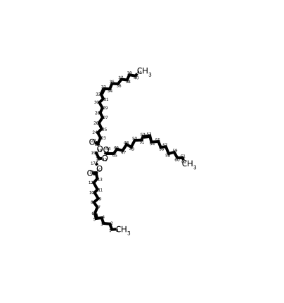 CCCCC/C=C\CCCCCCCC(=O)OC[C@H](COC(=O)CCCCCCCCC/C=C\CCCCCCCC)OC(=O)CCCCCCC/C=C\CCCCCCCCC